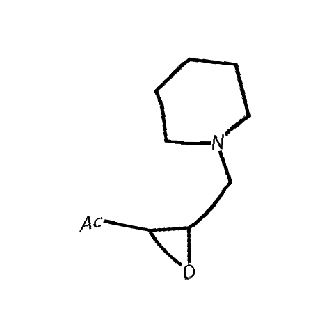 CC(=O)C1OC1CN1CCCCC1